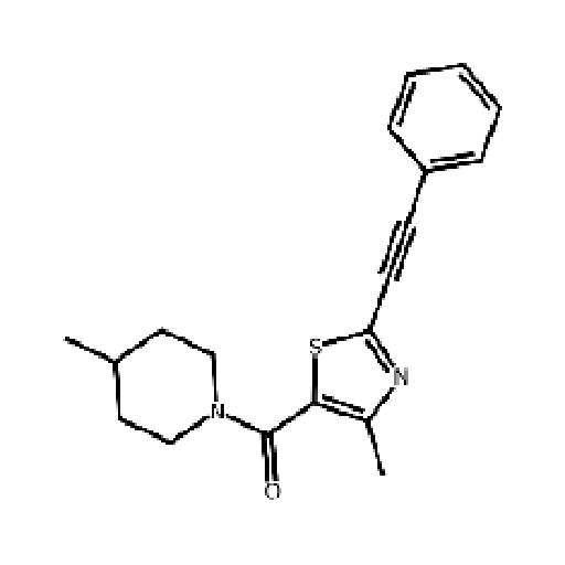 Cc1nc(C#Cc2ccccc2)sc1C(=O)N1CCC(C)CC1